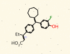 CC/C(=C\C(=O)O)c1ccc(C(=C2CCCCCC2)c2ccc(O)c(F)c2)cc1